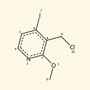 COc1nccc(I)c1CCl